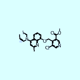 C/C=C\N(CI)c1cc(C)nc2c(OCc3c(Cl)cncc3C(=O)OC)cccc12